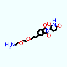 NCCOCCOCCCc1ccc2c(c1)C(=O)N(C1CCC(=O)NC1=O)C2=O